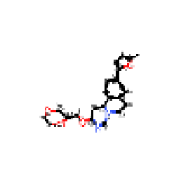 Cc1ccc(-c2ccc3c(c2)CCN2C=NC(OCC4COCCO4)C=C32)o1